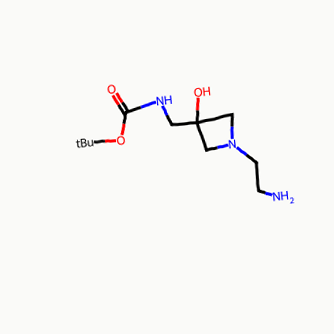 CC(C)(C)OC(=O)NCC1(O)CN(CCN)C1